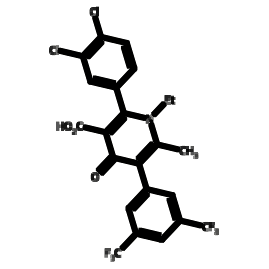 CCn1c(C)c(-c2cc(C(F)(F)F)cc(C(F)(F)F)c2)c(=O)c(C(=O)O)c1-c1ccc(Cl)c(Cl)c1